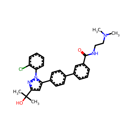 CN(C)CCNC(=O)c1cccc(-c2ccc(-c3cc(C(C)(C)O)nn3-c3ccccc3Cl)cc2)c1